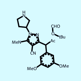 CC(C)(C)OC=O.CNc1c(C#N)c(C(C(C)=O)c2cc(OC)cc(OC)c2)nn1C1CCNC1